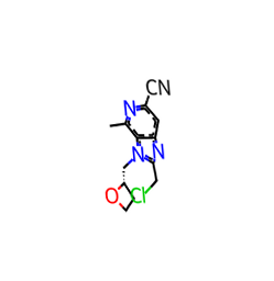 Cc1nc(C#N)cc2nc(CCl)n(C[C@@H]3CCO3)c12